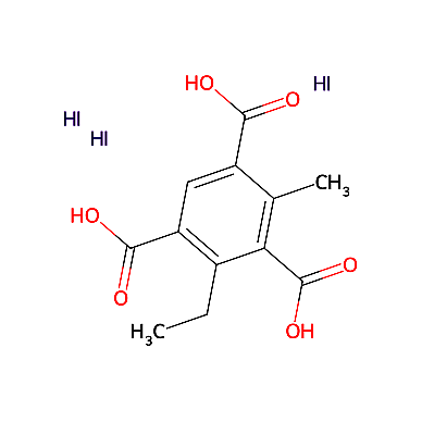 CCc1c(C(=O)O)cc(C(=O)O)c(C)c1C(=O)O.I.I.I